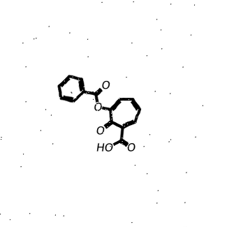 O=C(Oc1ccccc(C(=O)O)c1=O)c1ccccc1